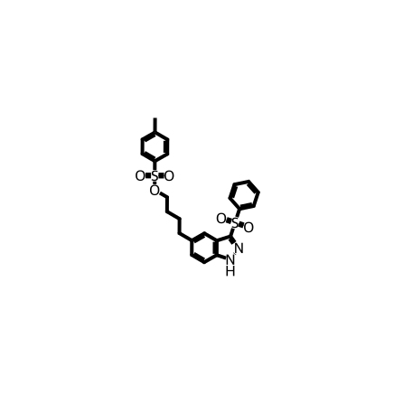 Cc1ccc(S(=O)(=O)OCCCCc2ccc3[nH]nc(S(=O)(=O)c4ccccc4)c3c2)cc1